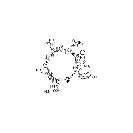 C[C@@H](O)[C@@H]1NC(=O)[C@@H](NC(=O)[C@H](CS)NC(=O)CN)CCc2cn(nn2)CCC[C@H](C(=O)N[C@@H](Cc2ccc(O)cc2)C(=O)O)NC(=O)[C@H](CCC(N)=O)NC(=O)C(Cc2c[nH]c3ccccc23)NC(=O)[C@H](CCCNC(N)=O)NC(=O)[C@H](CS)NC(=O)[C@H](CCCNC(=N)N)NC(=O)[C@@H]2CCCN2C(=O)[C@H](CC(=O)O)NC1=O